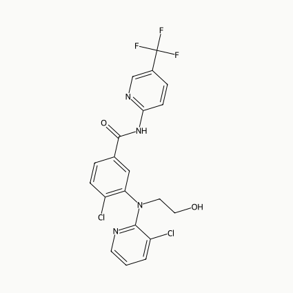 O=C(Nc1ccc(C(F)(F)F)cn1)c1ccc(Cl)c(N(CCO)c2ncccc2Cl)c1